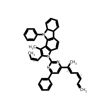 C=C/C=C\C=C(/C)c1cc(-c2ccccc2)nc(-n2c(/C=C\C)c(C)c3c4c(ccc32)C2C=CC=CC2N4c2ccccc2)n1